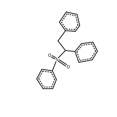 O=S(=O)(c1ccccc1)C(Cc1ccccc1)c1ccccc1